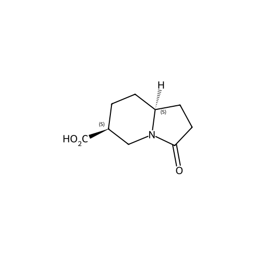 O=C(O)[C@H]1CC[C@H]2CCC(=O)N2C1